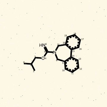 CC(C)COC(=N)N1Cc2ccccc2-c2ccccc2C1